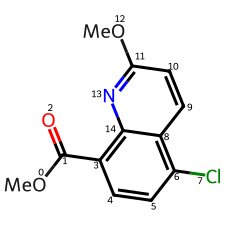 COC(=O)c1ccc(Cl)c2ccc(OC)nc12